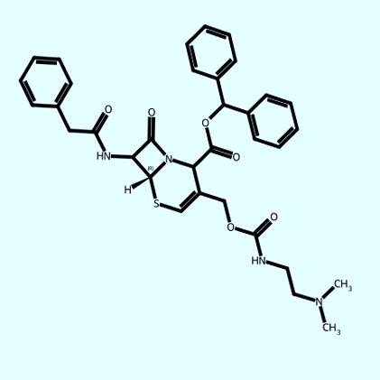 CN(C)CCNC(=O)OCC1=CS[C@@H]2C(NC(=O)Cc3ccccc3)C(=O)N2C1C(=O)OC(c1ccccc1)c1ccccc1